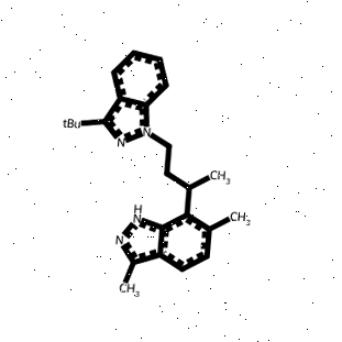 Cc1ccc2c(C)n[nH]c2c1C(C)CCn1nc(C(C)(C)C)c2ccccc21